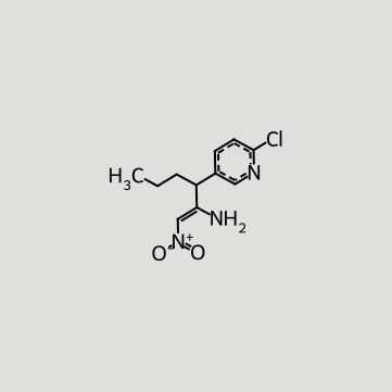 CCCC(/C(N)=C/[N+](=O)[O-])c1ccc(Cl)nc1